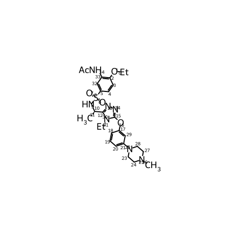 CCOc1ccc(S(=O)(=O)N[C@H](C)c2nnc(Oc3cccc(N4CCN(C)CC4)c3)n2CC)cc1NC(C)=O